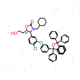 O=C1O[C@H](CCO)C(c2ccc(Cl)c(Cl)c2)N1CC1CCCCC1.c1ccc(C(OC(c2ccccc2)(c2ccccc2)c2ccccc2)(c2ccccc2)c2ccccc2)cc1